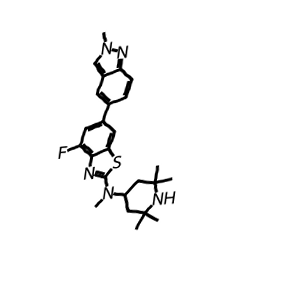 CN(c1nc2c(F)cc(-c3ccc4nn(C)cc4c3)cc2s1)C1CC(C)(C)NC(C)(C)C1